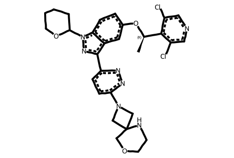 C[C@@H](Oc1ccc2c(c1)c(-c1ccc(N3CC4(COCCN4)C3)nn1)nn2C1CCCCO1)c1c(Cl)cncc1Cl